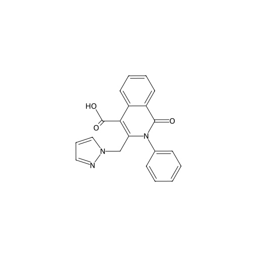 O=C(O)c1c(Cn2cccn2)n(-c2ccccc2)c(=O)c2ccccc12